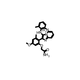 COc1cc(C)c(-c2nc3cccc(N)n3c2Nc2c(C)cccc2C)c(OCC(N)=O)c1